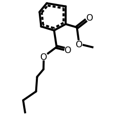 CCCCCOC(=O)c1ccccc1C(=O)OC